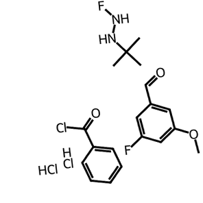 CC(C)(C)NNF.COc1cc(F)cc(C=O)c1.Cl.Cl.O=C(Cl)c1ccccc1